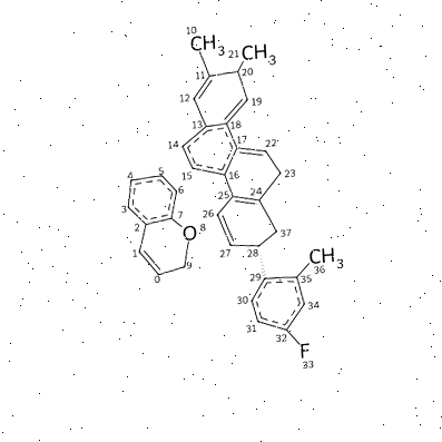 C1=Cc2ccccc2OC1.CC1=Cc2ccc3c(c2=CC1C)=CCC1=C3C=C[C@@H](c2ccc(F)cc2C)C1